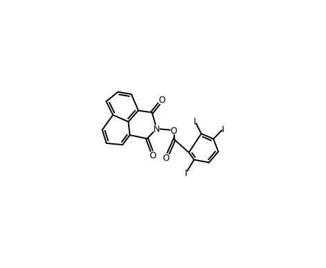 O=C(ON1C(=O)c2cccc3cccc(c23)C1=O)c1c(I)ccc(I)c1I